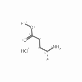 CCOC(=O)CC[C@@H](C)N.Cl